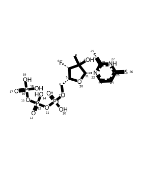 CC1(O)[C@@H](F)[C@@H](COP(=O)(O)OP(=O)(O)OP(=O)(O)O)O[C@H]1n1ccc(=S)[nH]c1=S